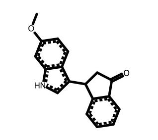 COc1ccc2c(C3CC(=O)c4ccccc43)c[nH]c2c1